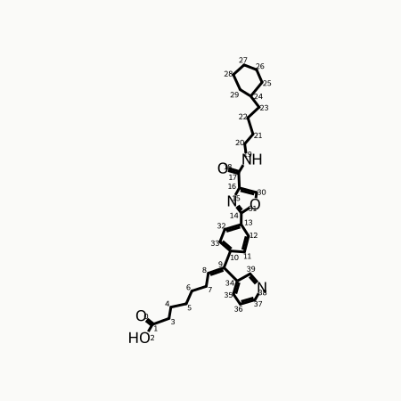 O=C(O)CCCCCC=C(c1ccc(-c2nc(C(=O)NCCCCC3CCCCC3)co2)cc1)c1cccnc1